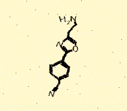 N#Cc1ccc(-c2nc(CCN)co2)cc1